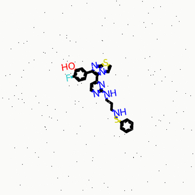 Oc1cc(-c2nc3sccn3c2-c2ccnc(NCCCNSc3ccccc3)n2)ccc1F